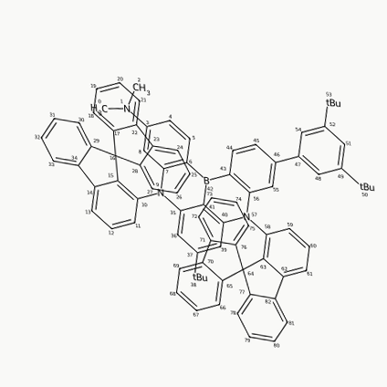 CN(C)c1ccc2c(c1)N(c1cccc3c1C1(c4ccccc4-c4ccccc41)c1ccccc1-3)c1cc(C(C)(C)C)cc3c1B2c1ccc(-c2cc(C(C)(C)C)cc(C(C)(C)C)c2)cc1N3c1cccc2c1C1(c3ccccc3-c3ccccc31)c1ccccc1-2